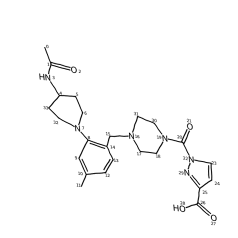 CC(=O)NC1CCN(c2cc(C)ccc2CN2CCN(C(=O)n3ccc(C(=O)O)n3)CC2)CC1